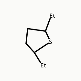 CCC1CCC(CC)S1